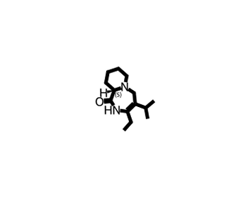 CCC1=C(C(C)C)CN2CCCC[C@H]2C(=O)N1